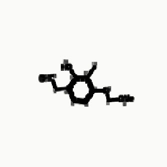 COCOc1ccc(CC=O)c(O)c1C